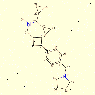 CN(C[C@H]1C[C@H](c2ccc(CN3CCCC3)cc2)C1)C(C1CC1)C1CC1